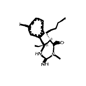 CCCC[C@@H]1C(=O)N(C)C(=N)N[C@]1(C)c1cccc(I)c1